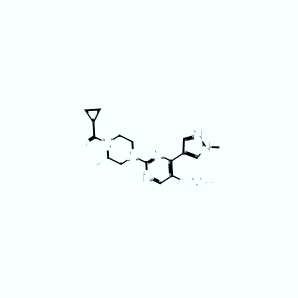 CSc1cnc(N2CCN(C(=O)C3CC3)[C@H](C)C2)nc1-c1cnn(C)c1